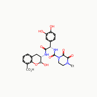 CCN1CCN(C(=O)N[C@H](C(=O)N[C@H]2Cc3cccc(C(=O)O)c3OB2O)c2ccc(O)c(O)c2)C(=O)C1=O